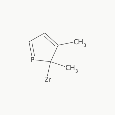 CC1=CC=P[C]1(C)[Zr]